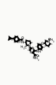 C[C@@H]1[C@H](NC(=O)c2ccc(C3CC3)cc2)CCCN1c1cnc(C(N)=O)c(Nc2ccc(OC3CCCN(C)C3)cc2)n1